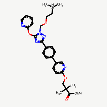 COC(=O)C(C)(C)COc1ccc(-c2ccc(-c3nc(Oc4ccccn4)n(COCC[SiH](C)C)n3)cc2)cn1